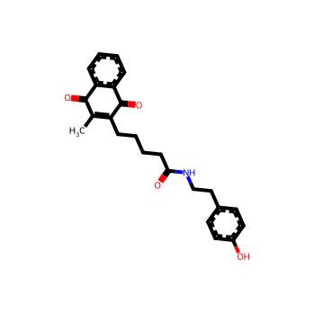 CC1=C(CCCCC(=O)NCCc2ccc(O)cc2)C(=O)c2ccccc2C1=O